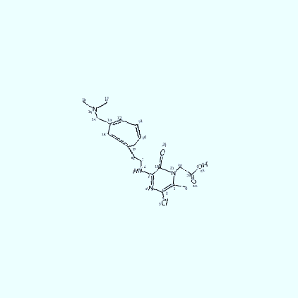 Cc1c(Cl)nc(NCCc2cccc(CN(C)C)c2)c(=O)n1CC(=O)O